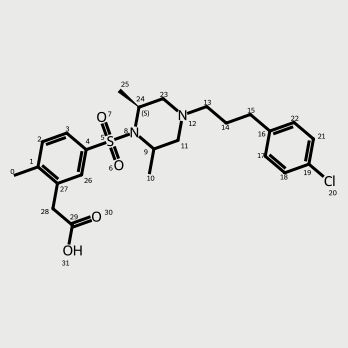 Cc1ccc(S(=O)(=O)N2C(C)CN(CCCc3ccc(Cl)cc3)C[C@@H]2C)cc1CC(=O)O